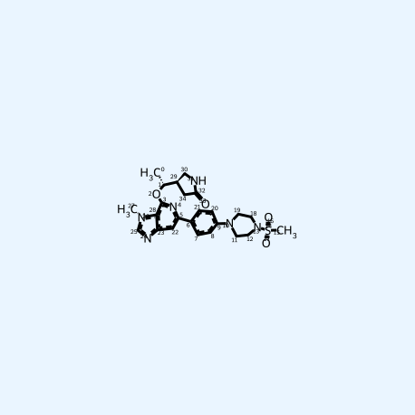 C[C@@H](Oc1nc(-c2ccc(N3CCN(S(C)(=O)=O)CC3)cc2)cc2ncn(C)c12)[C@H]1CNC(=O)C1